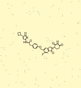 O=C1CCC(N2Cc3cc(COc4ccc(CC(=O)Nc5cc(C6CCC6)[nH]n5)cc4)c(F)cc3C2=O)C(=O)N1